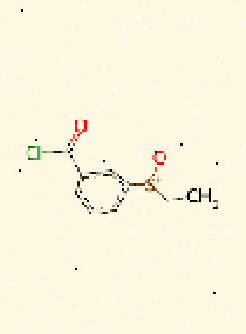 CC[S+]([O-])c1cccc(C(=O)Cl)c1